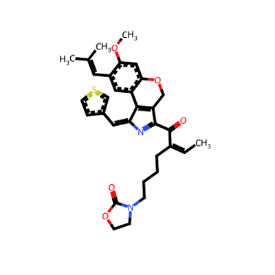 C/C=C(/CCCCN1CCOC1=O)C(=O)C1=N/C(=C/c2ccsc2)C2=C1COc1cc(OC)c(C=C(C)C)cc12